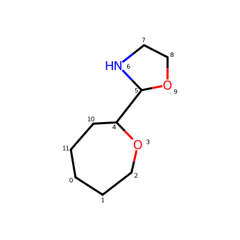 C1CCOC(C2NCCO2)CC1